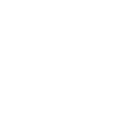 O=C1C=C(O)/C(=C2/C(=O)C(c3c(O)cc(O)c(C/C=C/c4ccccc4)c3O)=C2O)C(O)=C1C/C=C/c1ccccc1